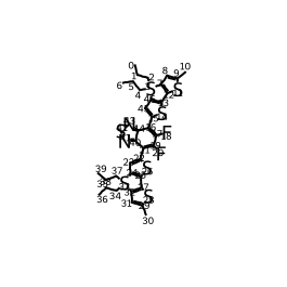 CCCS1(CCC)c2cc(C)sc2-c2sc(-c3c(F)c(F)c(-c4cc5c(s4)-c4sc(C)cc4S5(CCC)CCC)c4nsnc34)cc21